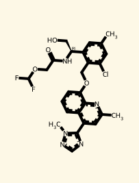 Cc1cc(Cl)c(COc2cccc3c(-c4ncnn4C)cc(C)nc23)c([C@H](CO)NC(=O)COC(F)F)c1